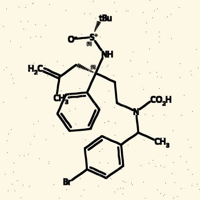 C=C(C)C[C@@](CCN(C(=O)O)C(C)c1ccc(Br)cc1)(N[S@+]([O-])C(C)(C)C)c1ccccc1